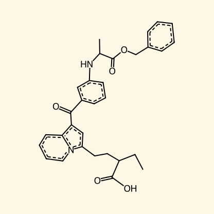 CCC(CCc1cc(C(=O)c2cccc(NC(C)C(=O)OCc3ccccc3)c2)c2ccccn12)C(=O)O